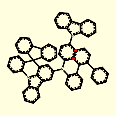 c1ccc(-c2ccccc2-c2ccccc2N(c2ccc(-n3c4ccccc4c4ccccc43)cc2)c2cc3c4c(c2)c2ccccc2n4-c2ccccc2C32c3ccccc3-c3ccccc32)cc1